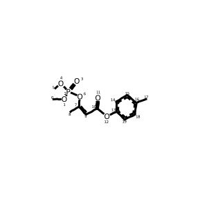 COP(=O)(OC)OC(C)=CC(=O)Oc1ccc(C)cc1